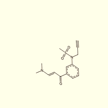 C#CCN(c1cccc(C(=O)C=CN(C)C)c1)S(C)(=O)=O